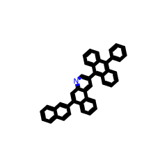 c1ccc(-c2c3ccccc3c(-c3cnc4cc(-c5ccc6ccccc6c5)c5ccccc5c4c3)c3ccccc23)cc1